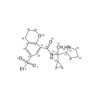 CCS(=O)(=O)c1cc2c(c(C(=O)NC(C)(C3CC3)C3CCCN3)c1)OCCC2